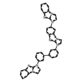 c1cc(-c2cccc(-n3ccn4c5cc(-n6ccn7c8ccccc8nc67)ccc5nc34)c2)cc(-n2ccn3c4ccccc4nc23)c1